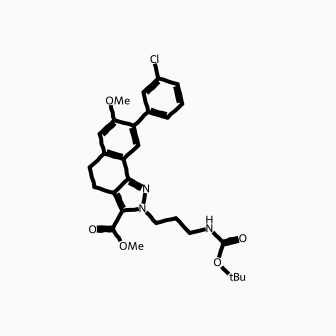 COC(=O)c1c2c(nn1CCCNC(=O)OC(C)(C)C)-c1cc(-c3cccc(Cl)c3)c(OC)cc1CC2